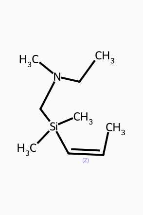 C/C=C\[Si](C)(C)CN(C)CC